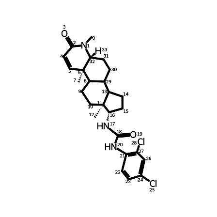 CN1C(=O)C=C[C@]2(C)C3CC[C@@]4(C)C(CC[C@@H]4NC(=O)Nc4ccc(Cl)cc4Cl)C3CC[C@@H]12